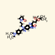 CCN(CC)c1ccc(-c2nc3cc4[nH]c(=O)c(CCC(=O)OC(C)(C)C)nc4cc3n2CCCN2CCCC2=O)cc1